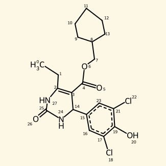 CCC1=C(C(=O)OCC2CCCCC2)C(c2cc(Cl)c(O)c(Cl)c2)NC(=O)N1